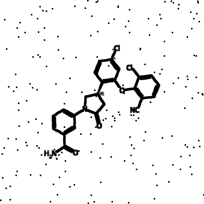 N#Cc1cccc(Cl)c1Oc1cc(Cl)ccc1[C@H]1CC(=O)N(c2cccc(C(N)=O)c2)C1